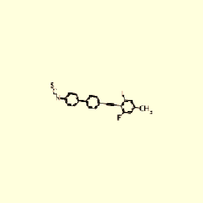 Cc1cc(F)c(C#Cc2ccc(-c3ccc(N=C=S)cc3)cc2)c(I)c1